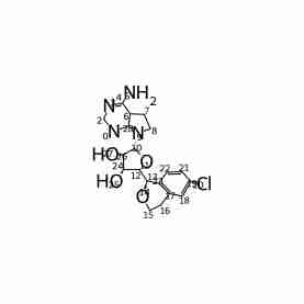 CN1CN=C(N)C2CCN([C@@H]3O[C@H]([C@@H]4OCCc5cc(Cl)ccc54)[C@@H](O)[C@H]3O)C21